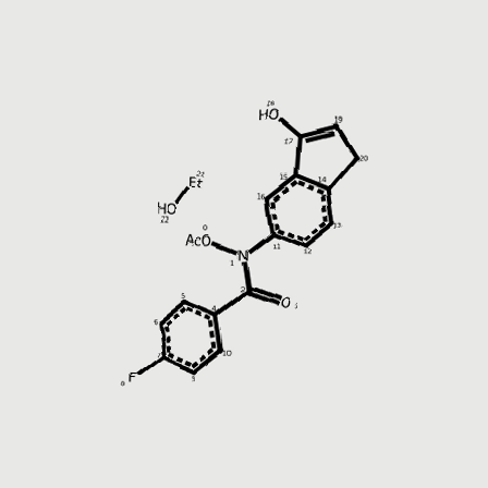 CC(=O)ON(C(=O)c1ccc(F)cc1)c1ccc2c(c1)C(O)=CC2.CCO